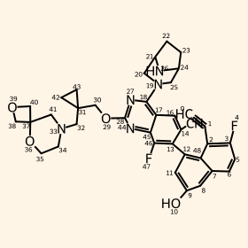 C#Cc1c(F)ccc2cc(O)cc(-c3c(C#N)cc4c(N5CC6CCC(C5)N6)nc(OCC5(CN6CCOC7(COC7)C6)CC5)nc4c3F)c12